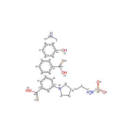 CCC.CNC.N[SH](=O)=O.OC(=S)c1cccc(N2CCCC2)c1.OC(=S)c1ccccc1.Oc1ccccc1